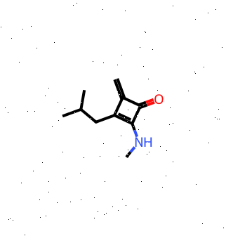 C=C1C(=O)C(NC)=C1CC(C)C